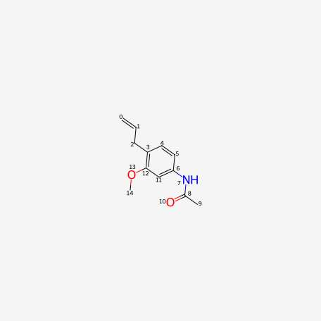 C=CCc1ccc(NC(C)=O)cc1OC